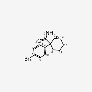 NC(=O)C1(c2ccc(Br)cc2)CCCCC1